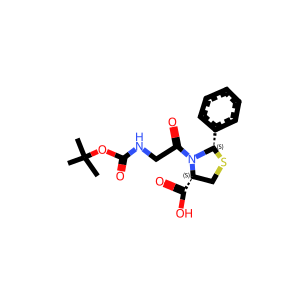 CC(C)(C)OC(=O)NCC(=O)N1[C@@H](C(=O)O)CS[C@H]1c1ccccc1